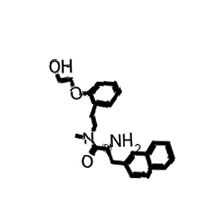 CN(CCc1ccccc1OCCO)C(=O)[C@H](N)Cc1ccc2ccccc2c1